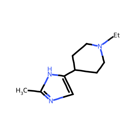 CCN1CCC(c2cnc(C)[nH]2)CC1